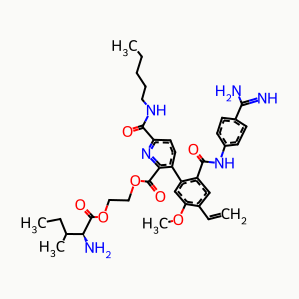 C=Cc1cc(C(=O)Nc2ccc(C(=N)N)cc2)c(-c2ccc(C(=O)NCCCCC)nc2C(=O)OCCOC(=O)[C@@H](N)C(C)CC)cc1OC